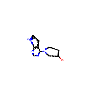 OC1CCN(c2ncnc3[nH]ccc23)C1